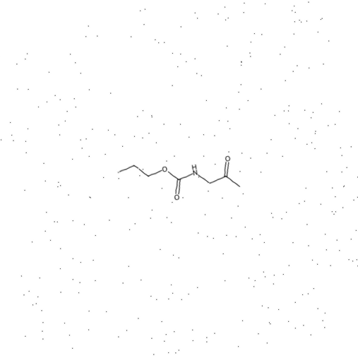 CCCOC(=O)NCC(C)=O